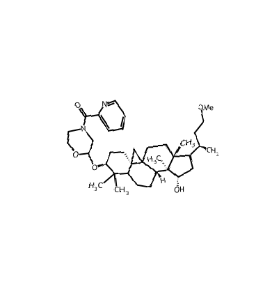 COCC[C@@H](C)C1C[C@H](O)[C@@]2(C)[C@@H]3CCC4C(C)(C)[C@@H](OC5CN(C(=O)c6ccccn6)CCO5)CC[C@@]45CC35CC[C@]12C